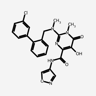 CN(Cc1ccccc1-c1cccc(Cl)c1)c1nc(C(=O)Nc2cnoc2)c(O)c(=O)n1C